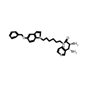 B[C@H](C(=O)NCCCCCCn1ccc2cc(OCc3ccccc3)ccc21)[C@H](B)c1cccnc1